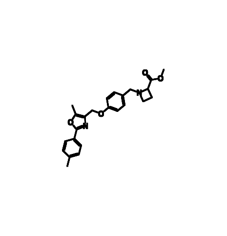 COC(=O)C1CCN1Cc1ccc(OCc2nc(-c3ccc(C)cc3)oc2C)cc1